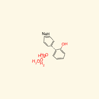 O.O.O.O.Oc1ccccc1-c1ccccc1.[NaH]